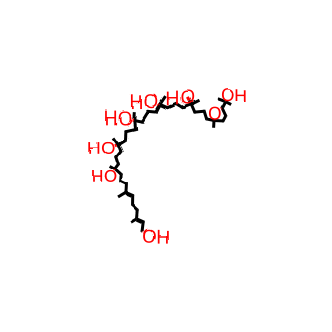 C/C(=C\CO)CC/C=C(\C)CCCC(C)(O)CCCC(C)(O)CCCC(C)(O)CCCC(C)(O)CCCC(C)(O)CCCC1(C)CCC(C(C)(C)O)O1